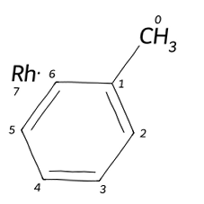 Cc1ccccc1.[Rh]